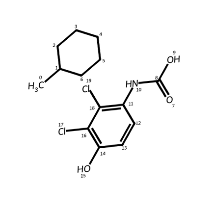 CC1CCCCC1.O=C(O)Nc1ccc(O)c(Cl)c1Cl